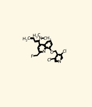 C=C/C=C(/c1cc(CF)nc2c(OCc3c(Cl)cncc3Cl)cccc12)N(C)C